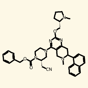 CN1Cc2c(nc(OC[C@@H]3CCCN3C)nc2N2CCN(C(=O)OCc3ccccc3)[C@@H](CC#N)C2)CC1c1cccc2ccccc12